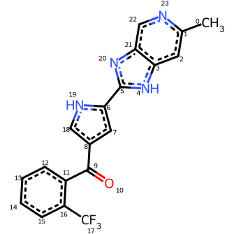 Cc1cc2[nH]c(-c3cc(C(=O)c4ccccc4C(F)(F)F)c[nH]3)nc2cn1